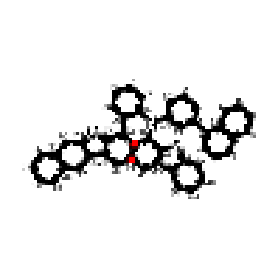 c1cc(-c2cccc3ccccc23)cc(N(c2ccccc2-c2cccc3c2oc2cc4ccccc4cc23)c2cccc3c2sc2ccccc23)c1